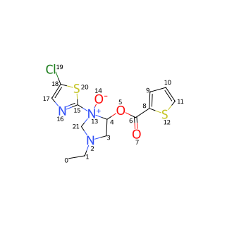 CCN1CC(OC(=O)c2cccs2)[N+]([O-])(c2ncc(Cl)s2)C1